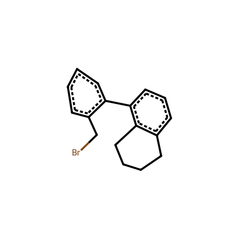 BrCc1ccccc1-c1cccc2c1CCCC2